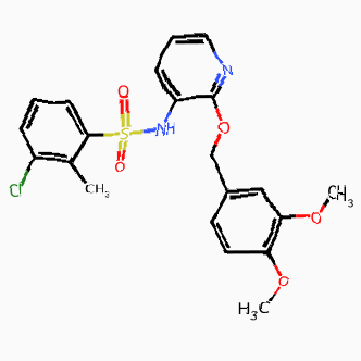 COc1ccc(COc2ncccc2NS(=O)(=O)c2cccc(Cl)c2C)cc1OC